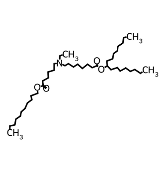 CCCCCCCCCCCOC(=O)CCCCCN(CC)CCCCCCCC(=O)OC(CCCCCCCC)CCCCCCCC